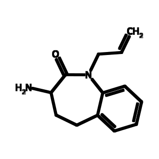 C=CCN1C(=O)C(N)CCc2ccccc21